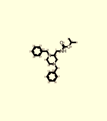 CC(C)OC(=O)NCC1CN(Cc2ccccc2)CCN1Cc1ccccc1